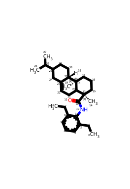 CCc1cccc(CC)c1NC(=O)[C@]1(C)CCC[C@@]2(C)C1CC=C1CC(C(C)C)CC[C@@H]12